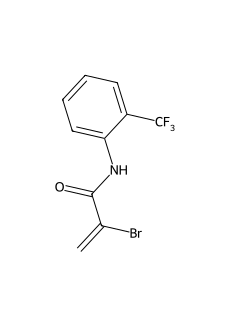 C=C(Br)C(=O)Nc1ccccc1C(F)(F)F